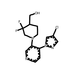 OCC1CCN(c2cnccc2-n2cc(Cl)cn2)CC1(F)F